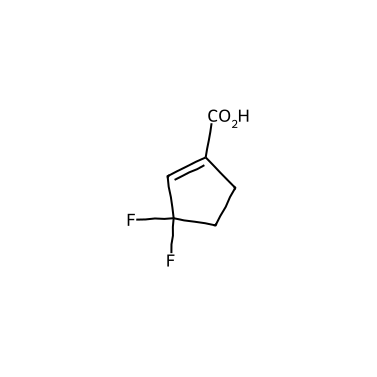 O=C(O)C1=CC(F)(F)CC1